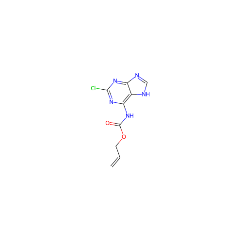 C=CCOC(=O)Nc1nc(Cl)nc2nc[nH]c12